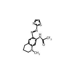 CN1CCCc2cc(N=Nc3nccs3)c(NC(=O)C(F)(F)F)cc21